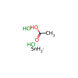 CC(=O)O.Cl.Cl.[SnH2]